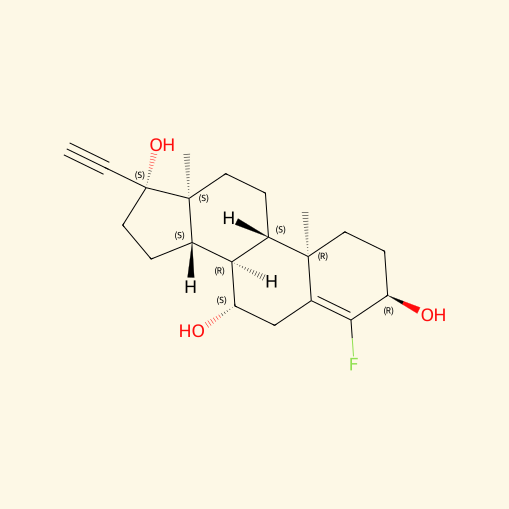 C#C[C@]1(O)CC[C@H]2[C@@H]3[C@@H](O)CC4=C(F)[C@H](O)CC[C@]4(C)[C@H]3CC[C@@]21C